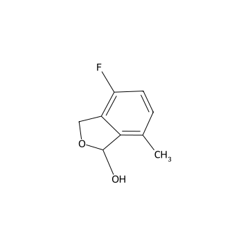 Cc1ccc(F)c2c1C(O)OC2